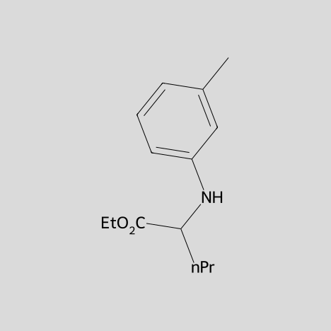 CCCC(Nc1cccc(C)c1)C(=O)OCC